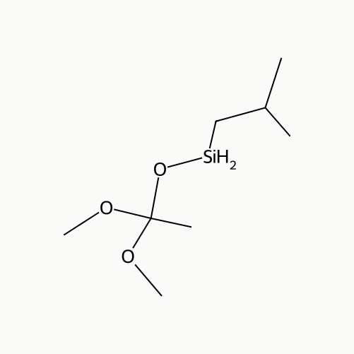 COC(C)(OC)O[SiH2]CC(C)C